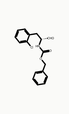 O=C[C@@H](Cc1ccccc1Cl)NC(=O)OCc1ccccc1